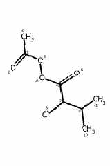 CC(=O)OOC(=O)C(Cl)C(C)C